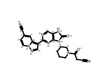 N#CCC(=O)N1CCC[C@H](n2c(=O)[nH]c3cnc(-c4cnn5ccc(C#N)cc45)nc32)C1